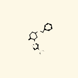 O=C1CCC(OCc2ccccc2)CC1n1cc([N+](=O)[O-])cn1